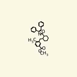 COC(=O)c1ccc(C)c(CC2CCCCC2c2nc(-c3ccccc3)c(-c3ccccc3)o2)c1